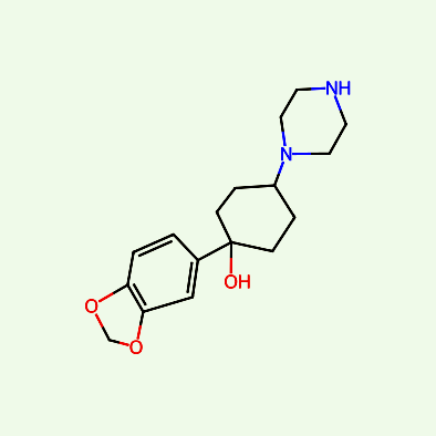 OC1(c2ccc3c(c2)OCO3)CCC(N2CCNCC2)CC1